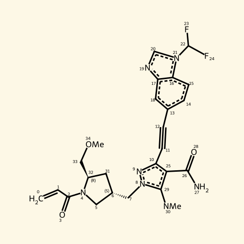 C=CC(=O)N1C[C@@H](Cn2nc(C#Cc3ccc4c(c3)ncn4C(F)F)c(C(N)=O)c2NC)C[C@@H]1COC